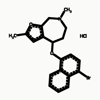 Cc1cc2c(o1)CN(C)CCC2Oc1ccc(Br)c2ccccc12.Cl